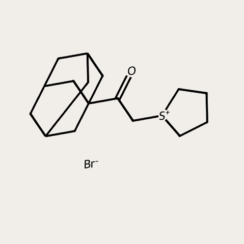 O=C(C[S+]1CCCC1)C12CC3CC(CC(C3)C1)C2.[Br-]